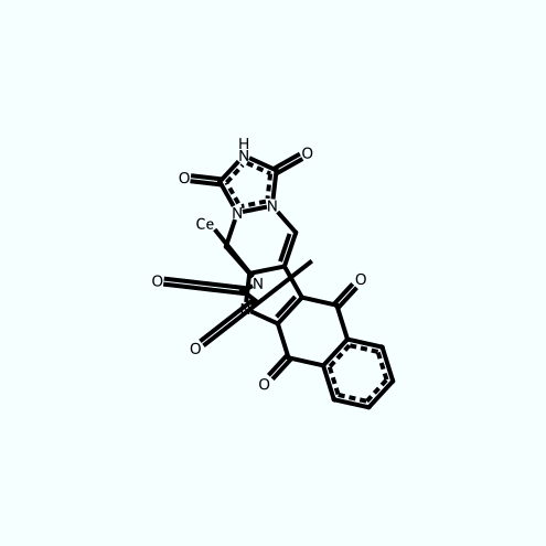 O=C1C2=C(C(=O)c3ccccc31)N1C(=O)C(=O)[N]([Ce])C13Cn1c(=O)[nH]c(=O)n1C=C23